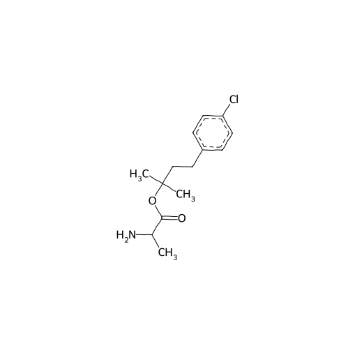 CC(N)C(=O)OC(C)(C)CCc1ccc(Cl)cc1